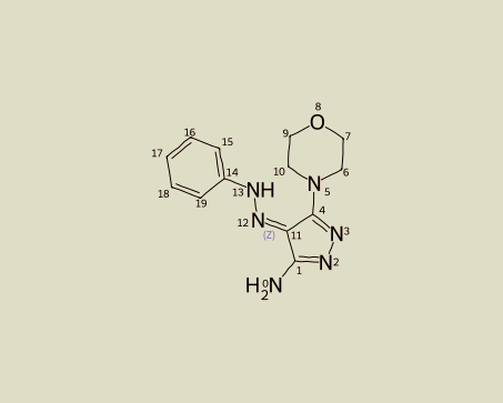 NC1=NN=C(N2CCOCC2)/C1=N\Nc1ccccc1